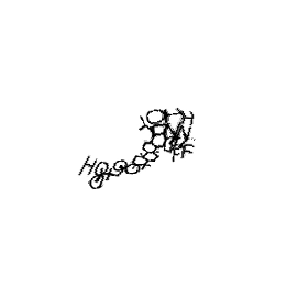 CC(C)C1=C2C3CCC4[C@@](C)(CCC5C(C)(C)[C@@H](OC(=O)CC(C)(C)C(=O)O)CC[C@@]54C)C3CCC2(NC(=O)N[C@H](C)C(F)(F)F)CC1=O